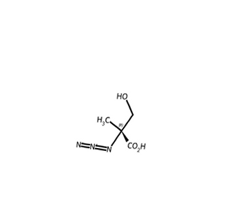 C[C@](CO)(N=[N+]=[N-])C(=O)O